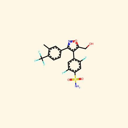 Cc1cc(-c2noc(CO)c2-c2cc(F)c(S(N)(=O)=O)cc2F)ccc1C(F)(F)F